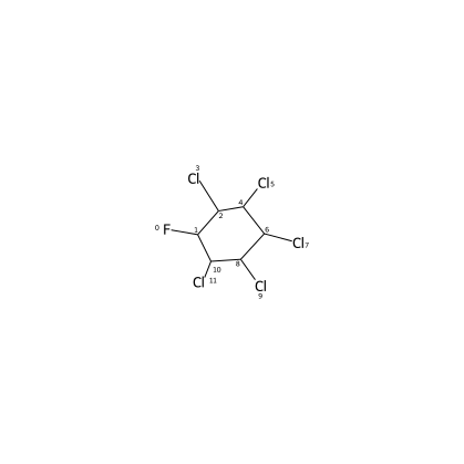 FC1C(Cl)C(Cl)C(Cl)C(Cl)C1Cl